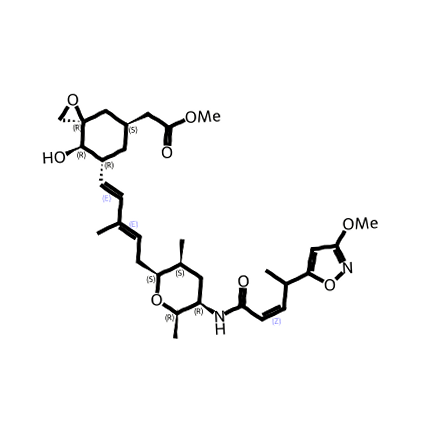 COC(=O)C[C@H]1C[C@H](/C=C/C(C)=C/C[C@@H]2O[C@H](C)[C@H](NC(=O)/C=C\C(C)c3cc(OC)no3)C[C@@H]2C)[C@@H](O)[C@]2(CO2)C1